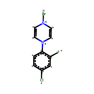 Fc1cc(Cl)ccc1N1C=CN(Br)C=C1